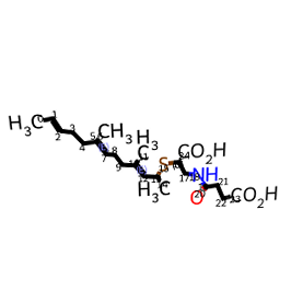 CC=CCC/C(C)=C/CC/C(C)=C/C(C)S[C@@H](CNC(=O)CCC(=O)O)C(=O)O